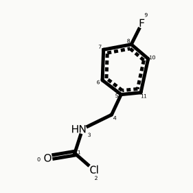 O=C(Cl)NCc1ccc(F)cc1